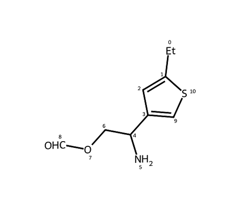 CCc1cc(C(N)COC=O)cs1